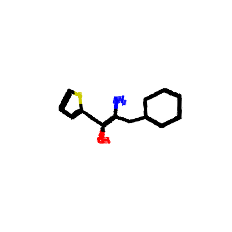 NC(CC1CCCCC1)[C@@H](O)c1cccs1